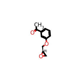 CC(=O)c1cccc(OC[C@H]2CO2)c1